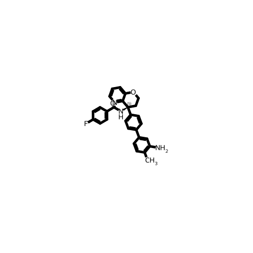 Cc1ccc(-c2ccc([C@@]3(NC(=O)c4ccc(F)cc4)CCOc4cccnc43)cc2)cc1N